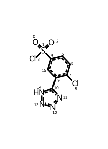 O=S(=O)(Cl)c1ccc(Cl)c(-c2nnn[nH]2)c1